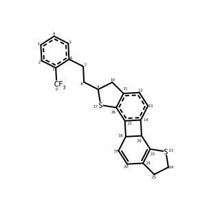 FC(F)(F)c1ccccc1CCC1Cc2ccc3c(c2S1)C1C=CC2=C(SCC2)C31